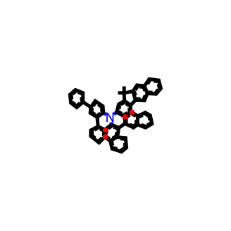 CC1(C)c2cc(N(c3ccc(-c4ccccc4)cc3-c3ccccc3)c3ccc4ccccc4c3-c3ccc4ccccc4c3)ccc2-c2cc3ccccc3cc21